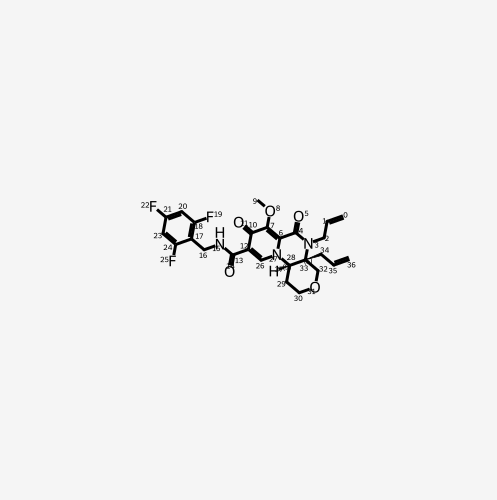 C=CCN1C(=O)c2c(OC)c(=O)c(C(=O)NCc3c(F)cc(F)cc3F)cn2[C@H]2CCOC[C@]21CC=C